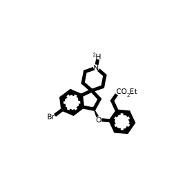 [2H]N1CCC2(CC1)C[C@@H](Oc1ccccc1CC(=O)OCC)c1cc(Br)ccc12